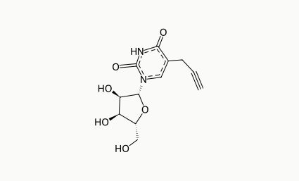 C#CCc1cn([C@@H]2O[C@H](CO)[C@@H](O)[C@H]2O)c(=O)[nH]c1=O